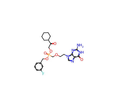 Nc1nc2c(ncn2CCOCP(=O)(OCC(=O)C2CCCCC2)OCc2cccc(F)c2)c(=O)[nH]1